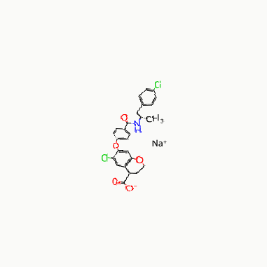 CC(Cc1ccc(Cl)cc1)NC(=O)c1ccc(Oc2cc3c(cc2Cl)C(C(=O)[O-])CCO3)cc1.[Na+]